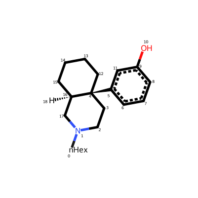 CCCCCCN1CC[C@@]2(c3cccc(O)c3)CCCC[C@@H]2C1